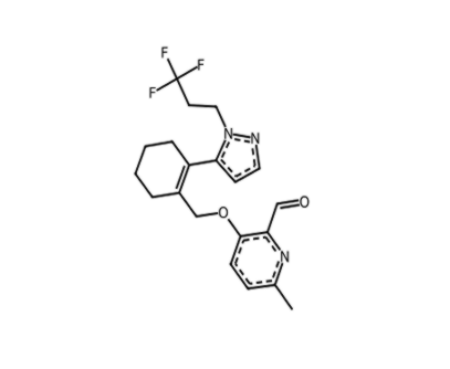 Cc1ccc(OCC2=C(c3ccnn3CCC(F)(F)F)CCCC2)c(C=O)n1